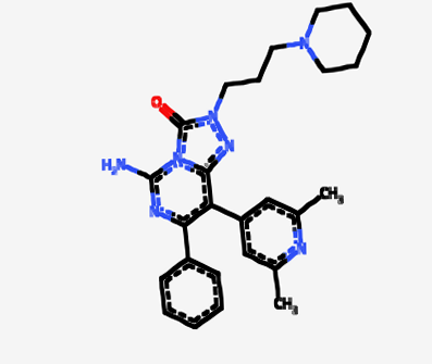 Cc1cc(-c2c(-c3ccccc3)nc(N)n3c(=O)n(CCCN4CCCCC4)nc23)cc(C)n1